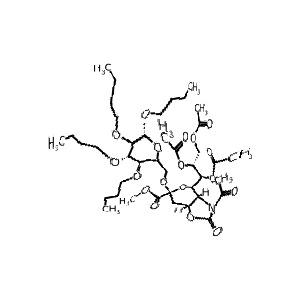 CCCCOC1[C@H](OCCCC)OC(CO[C@]2(C(=O)OC)C[C@H]3OC(=O)N(C(C)=O)[C@H]3C([C@H](OC(C)=O)[C@@H](COC(C)=O)OC(C)=O)O2)[C@@H](OCCCC)[C@@H]1OCCCC